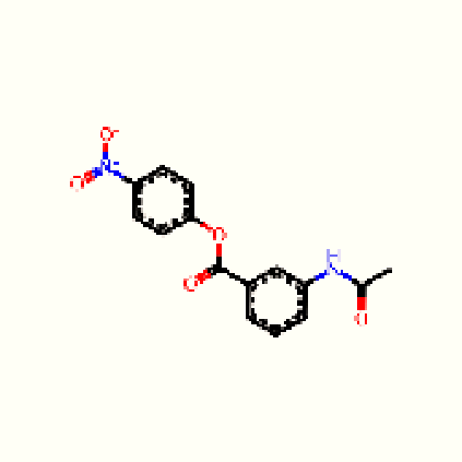 CC(=O)Nc1cccc(C(=O)Oc2ccc([N+](=O)[O-])cc2)c1